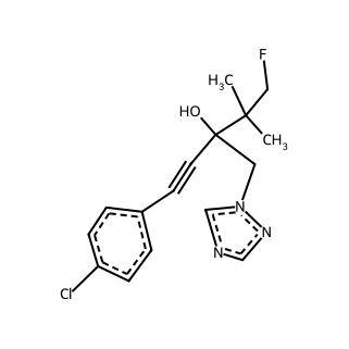 CC(C)(CF)C(O)(C#Cc1ccc(Cl)cc1)Cn1cncn1